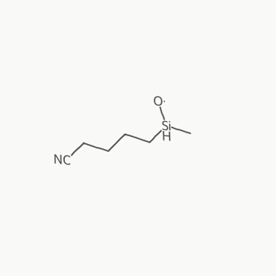 C[SiH]([O])CCCCC#N